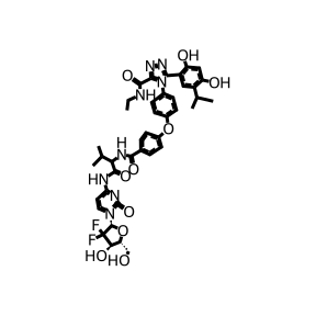 CCNC(=O)c1nnc(-c2cc(C(C)C)c(O)cc2O)n1-c1ccc(Oc2ccc(C(=O)NC(C(=O)Nc3ccn([C@@H]4O[C@H](CO)[C@@H](O)C4(F)F)c(=O)n3)C(C)C)cc2)cc1